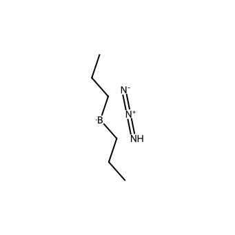 CCC[B]CCC.[N-]=[N+]=N